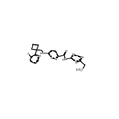 CCOC(=O)Cc1nnc(NC(=O)c2ccc(NCC3(c4ncccc4F)CCC3)nn2)s1